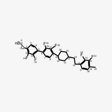 CCCCOc1ccc(-c2ccc(C3CCC(CCc4ccc(C)c(F)c4F)CC3)c(F)c2F)c(F)c1F